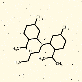 CC1CCC(C(C)C)C(N(CCCN)C2CC(C)CCC2C(C)C)C1